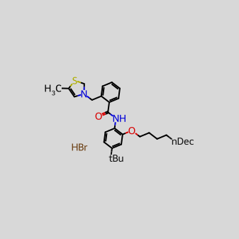 Br.CCCCCCCCCCCCCCOc1cc(C(C)(C)C)ccc1NC(=O)c1ccccc1CN1C=C(C)SC1